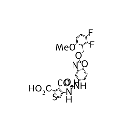 COc1ccc(F)c(F)c1COc1nc2cc(NC(=O)Nc3csc(C(=O)O)c3C(=O)O)ccc2o1